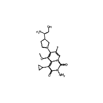 COc1c(N2CCC(C(N)CO)C2)c(F)cn2c(=O)n(N)c(=O)c(C3CC3)c12